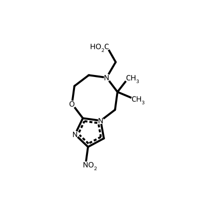 CC1(C)Cn2cc([N+](=O)[O-])nc2OCCN1CC(=O)O